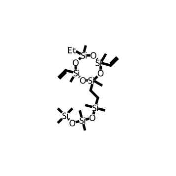 C=C[Si]1(C)O[Si](C)(CC)O[Si](C)(C=C)O[Si](C)(CC[Si](C)(C)O[Si](C)(C)O[Si](C)(C)C)O1